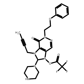 CC#CCN1c2c(cnn(CCOc3ccccc3)c2=O)N(OC(=O)C(F)(F)F)C1N1CCNCC1